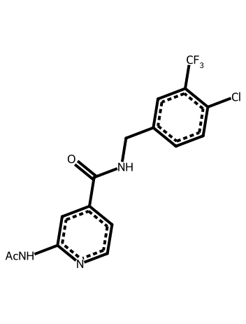 CC(=O)Nc1cc(C(=O)NCc2ccc(Cl)c(C(F)(F)F)c2)ccn1